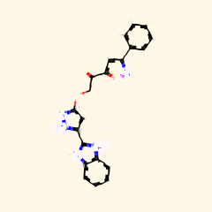 O=C(COc1cc(-c2nc3ccccc3[nH]2)[nH]n1)c1cc(-c2ccccc2)no1